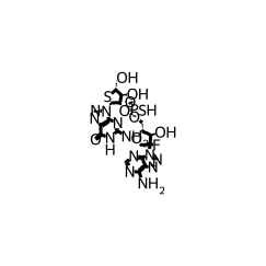 Nc1nc2c(nnn2[C@@H]2S[C@H](CO)[C@@H](O)[C@H]2OP(=O)(S)OC[C@H]2OCC(F)(n3nnc4c(N)ncnc43)[C@@H]2O)c(=O)[nH]1